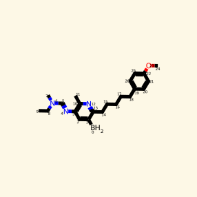 Bc1cc(/N=C/N(C)CC)c(C)nc1CCCCCc1ccc(OC)cc1